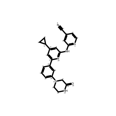 N#Cc1ccnc(Nc2cc(C3CC3)cc(-c3cccc(N4CCNC(=O)C4)c3)n2)c1